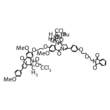 COc1ccc(C2=CN3C(=O)c4cc(OC)c(OCCCOc5cc6c(cc5OC)C(=O)N5C=C(c7ccc(OCCOCCN8C(=O)c9ccccc9C8=O)cc7)CC5[C@@H](O[Si](C)(C)C(C)(C)C)N6C(=O)OCC(Cl)(Cl)Cl)cc4N(C(=O)OCC(Cl)(Cl)Cl)[C@H](C)C3C2)cc1